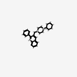 c1ccc(-c2nc3ccccc3cc2CN2CCN(C3CCCCC3)CC2)cc1